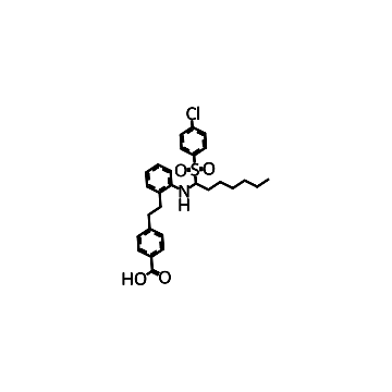 CCCCCCC(Nc1ccccc1CCc1ccc(C(=O)O)cc1)S(=O)(=O)c1ccc(Cl)cc1